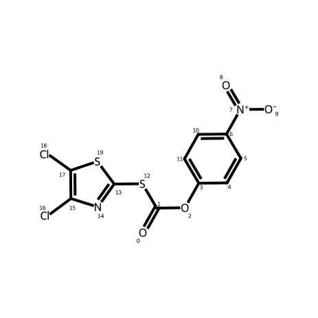 O=C(Oc1ccc([N+](=O)[O-])cc1)Sc1nc(Cl)c(Cl)s1